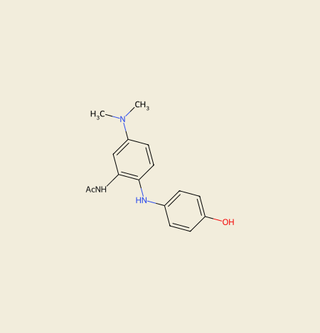 CC(=O)Nc1cc(N(C)C)ccc1Nc1ccc(O)cc1